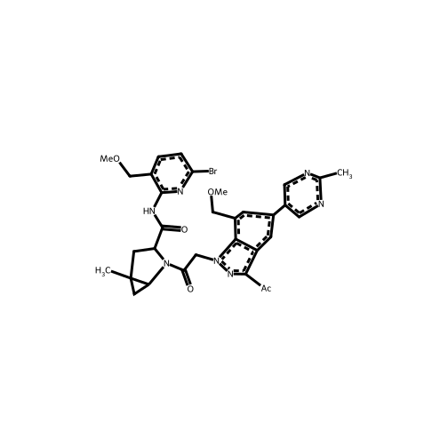 COCc1ccc(Br)nc1NC(=O)C1CC2(C)CC2N1C(=O)Cn1nc(C(C)=O)c2cc(-c3cnc(C)nc3)cc(COC)c21